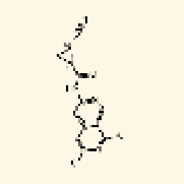 N#C[C@H]1C[C@@H]1C(=O)Nc1cc2cc(Cl)nc(Cl)c2cn1